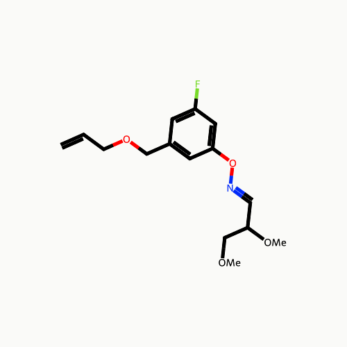 C=CCOCc1cc(F)cc(ON=CC(COC)OC)c1